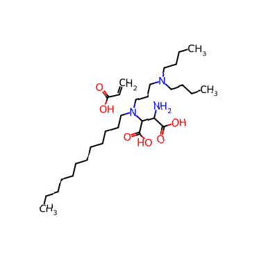 C=CC(=O)O.CCCCCCCCCCCCN(CCCN(CCCC)CCCC)C(C(=O)O)C(N)C(=O)O